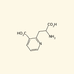 NC(Cc1ncccc1C(=O)O)C(=O)O